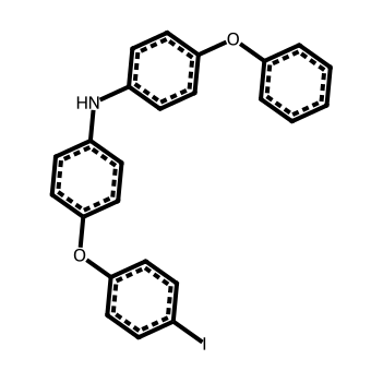 Ic1ccc(Oc2ccc(Nc3ccc(Oc4ccccc4)cc3)cc2)cc1